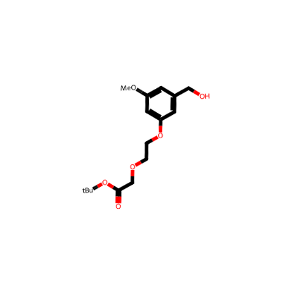 COc1cc(CO)cc(OCCOCC(=O)OC(C)(C)C)c1